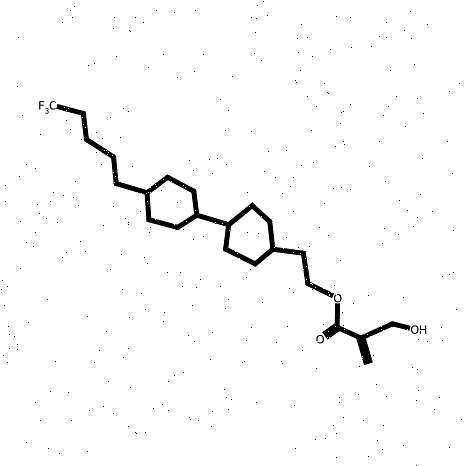 C=C(CO)C(=O)OCCC1CCC(C2CCC(CCCCC(F)(F)F)CC2)CC1